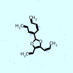 C=C/C=C\C(=C/C=C)C1OC(C=C)=C(/C=C\C)O1